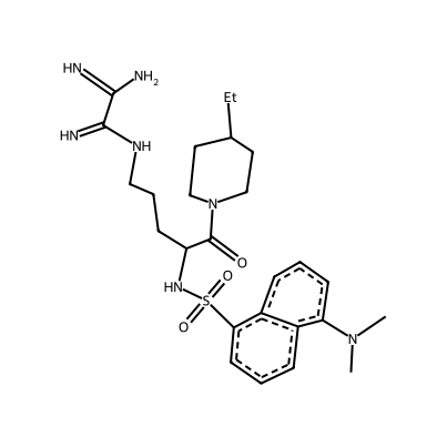 CCC1CCN(C(=O)C(CCCNC(=N)C(=N)N)NS(=O)(=O)c2cccc3c(N(C)C)cccc23)CC1